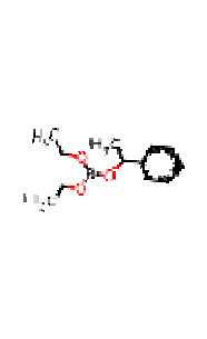 CCOB(OCC)OC(C)c1ccccc1